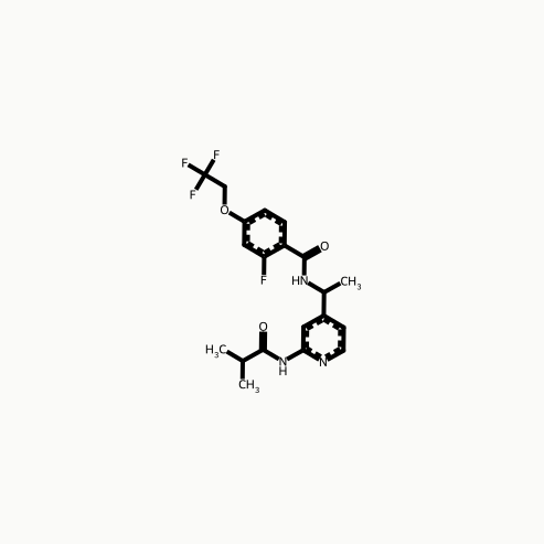 CC(C)C(=O)Nc1cc(C(C)NC(=O)c2ccc(OCC(F)(F)F)cc2F)ccn1